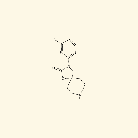 O=C1OC2(CCNCC2)CN1c1cccc(F)n1